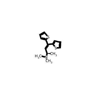 C[C@H](C=C(c1cccs1)c1cccs1)N(C)C